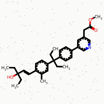 CCC(O)(/C=C/c1ccc(C(CC)(CC)c2ccc(-c3cncc(CC(=O)OC)c3)cc2)cc1C)CC